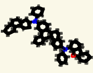 c1ccc(N(c2ccc3c(ccc4ccccc43)c2)c2ccc3c(c2)c2ccccc2c2c4ccc(N(c5ccccc5)c5cccc6c5oc5ccccc56)cc4ccc32)cc1